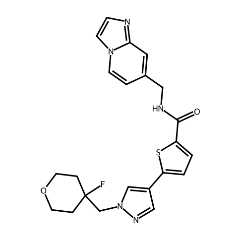 O=C(NCc1ccn2ccnc2c1)c1ccc(-c2cnn(CC3(F)CCOCC3)c2)s1